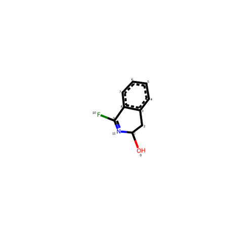 OC1Cc2ccccc2C(F)=N1